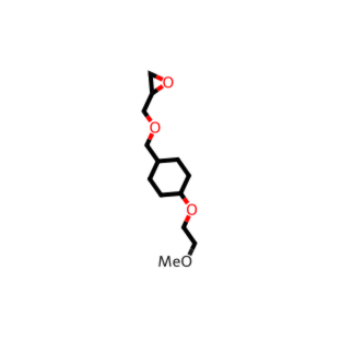 COCCOC1CCC(COCC2CO2)CC1